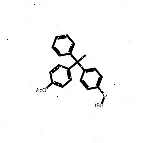 CC(=O)Oc1ccc(C(C)(c2ccccc2)c2ccc(OC(C)(C)C)cc2)cc1